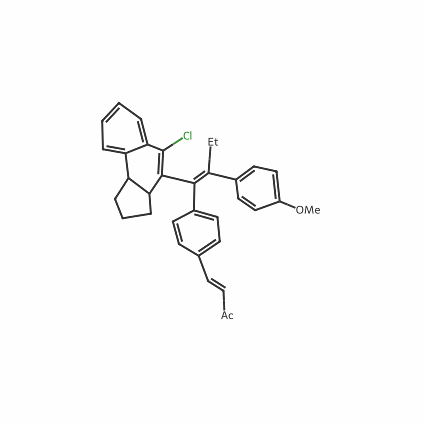 CC/C(=C(\C1=C(Cl)c2ccccc2C2CCCC12)c1ccc(/C=C/C(C)=O)cc1)c1ccc(OC)cc1